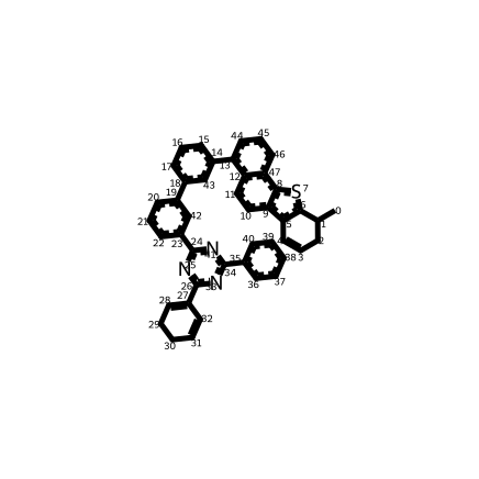 CC1CC=Cc2c1sc1c2ccc2c(-c3cccc(-c4cccc(-c5nc(C6=CCCC=C6)nc(-c6ccccc6)n5)c4)c3)cccc21